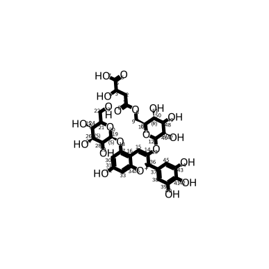 O=C(CC(O)C(=O)O)OC[C@@H]1OC(Oc2cc3c(O[C@@H]4OC(CO)[C@@H](O)[C@H](O)C4O)cc(O)cc3[o+]c2-c2cc(O)c(O)c(O)c2)[C@@H](O)C(O)[C@H]1O